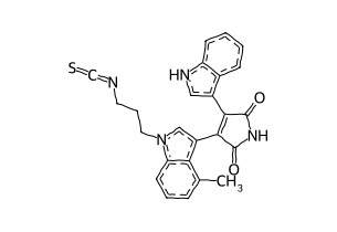 Cc1cccc2c1c(C1=C(c3c[nH]c4ccccc34)C(=O)NC1=O)cn2CCCN=C=S